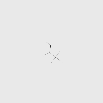 CCC[CH]C(N)C(C)(C)S